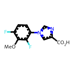 COc1c(F)ccc(-n2cnc(C(=O)O)c2)c1F